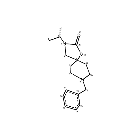 CC(C)N1CC2(CCN(Cc3ccccc3)CC2)OC1=O